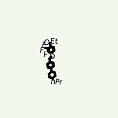 CCCC1CCC(c2ccc(COc3ccc(C(=O)CC)c(C(F)F)c3F)cc2)CC1